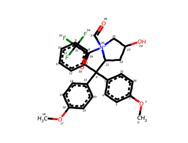 COc1ccc(C(c2ccccc2)(c2ccc(OC)cc2)C2CC(O)C[N+]2(C=O)C(=O)C(F)(F)F)cc1